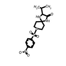 CC(C)C1NC2(CCN(S(=O)(=O)c3ccc([N+](=O)[O-])cc3)CC2)NC1=O